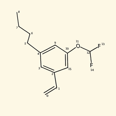 C=[C]c1cc(CCCC)cc(OC(F)F)c1